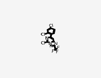 FC(F)(F)c1nc2cc(-c3ccc(Cl)cc3Cl)nc(Cl)n2n1